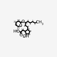 CCCCCC(CCC1CCC(O)C1CC(=O)O)OC1CCCCO1